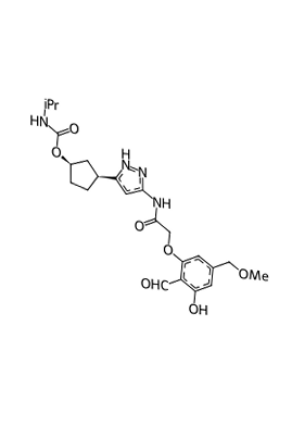 COCc1cc(O)c(C=O)c(OCC(=O)Nc2cc([C@H]3CC[C@@H](OC(=O)NC(C)C)C3)[nH]n2)c1